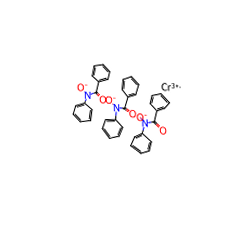 O=C(c1ccccc1)N([O-])c1ccccc1.O=C(c1ccccc1)N([O-])c1ccccc1.O=C(c1ccccc1)N([O-])c1ccccc1.[Cr+3]